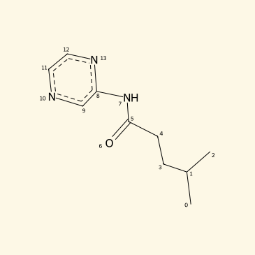 CC(C)CCC(=O)Nc1cnccn1